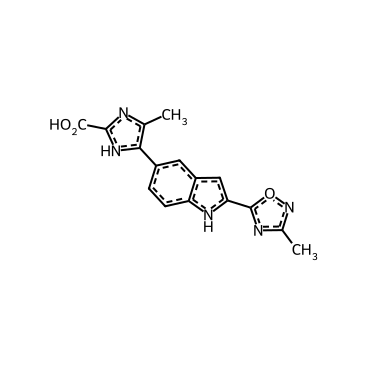 Cc1noc(-c2cc3cc(-c4[nH]c(C(=O)O)nc4C)ccc3[nH]2)n1